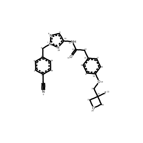 N#Cc1ccc(Cn2ncc(NC(=O)Cc3ccc(OCC4(F)COC4)cc3)n2)cc1